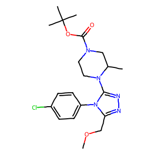 COCc1nnc(N2CCN(C(=O)OC(C)(C)C)CC2C)n1-c1ccc(Cl)cc1